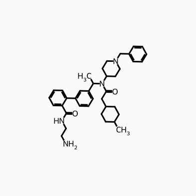 CC1CCC(CC(=O)N(C2CCN(Cc3ccccc3)CC2)C(C)c2cccc(-c3ccccc3C(=O)NCCN)c2)CC1